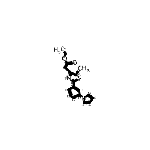 CCOC(=O)Cc1nc(-c2cccc(-n3cccc3)c2)sc1C